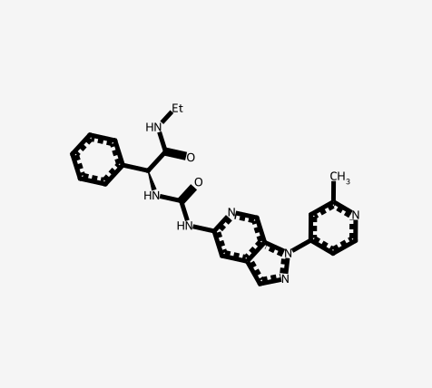 CCNC(=O)[C@@H](NC(=O)Nc1cc2cnn(-c3ccnc(C)c3)c2cn1)c1ccccc1